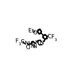 CCOc1cccc(-c2cc(CN3CCN(c4ccc(C(=O)NCC(F)(F)F)nn4)CC3)cc(C(F)(F)F)c2)c1